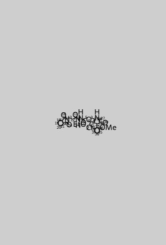 CCOC(=O)C1=C(COCC(=O)NNC(=O)CCN2C(=O)c3ccccc3C2=O)NC(C)=C(C(=O)OC)C1c1ccccc1Cl